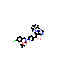 CC(C)[Si](C(C)C)(C(C)C)n1cc(C(O)c2ccc(N(Cc3ccc(Cl)cc3)C(=O)OC(C)(C)C)nc2)c2cncnc21